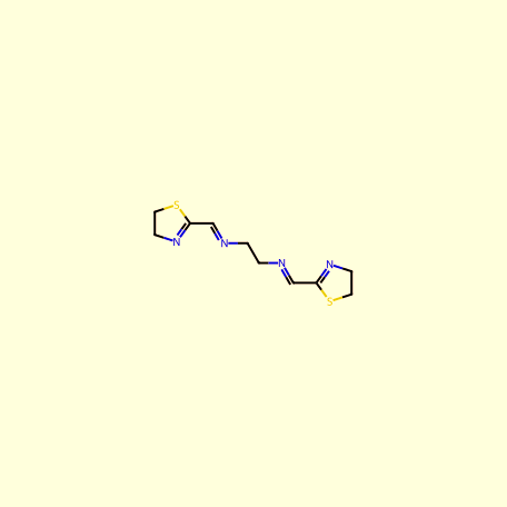 C(=NCCN=CC1=NCCS1)C1=NCCS1